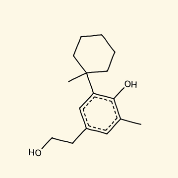 Cc1cc(CCO)cc(C2(C)CCCCC2)c1O